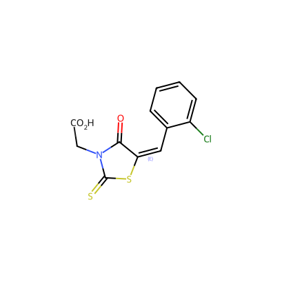 O=C(O)CN1C(=O)/C(=C\c2ccccc2Cl)SC1=S